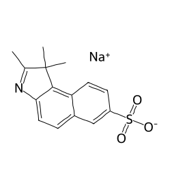 CC1=Nc2ccc3cc(S(=O)(=O)[O-])ccc3c2C1(C)C.[Na+]